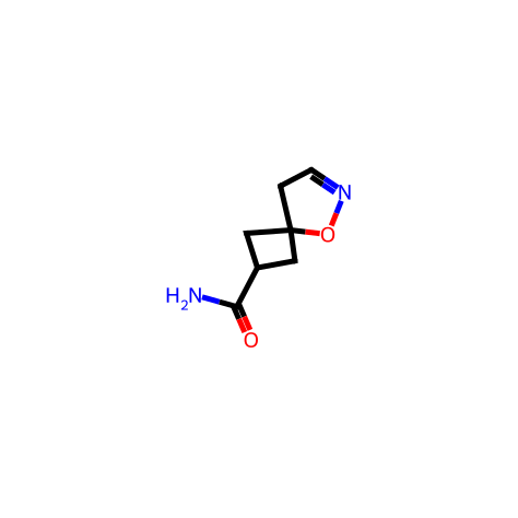 NC(=O)C1CC2(CC=NO2)C1